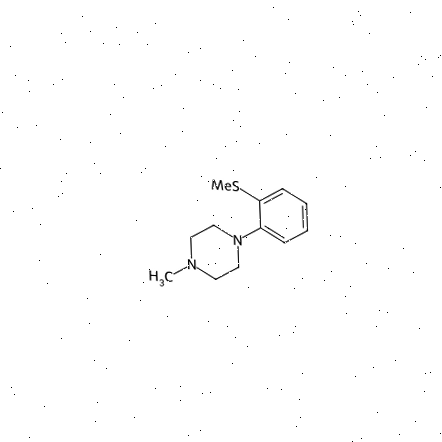 CSc1ccccc1N1CCN(C)CC1